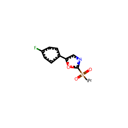 CC(C)S(=O)(=O)c1ncc(-c2ccc(F)cc2)o1